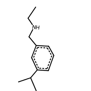 CCNCc1cccc(C(C)C)c1